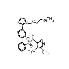 COCCOCn1ccnc1-c1ccc(-c2ccccc2S(=O)(=O)Nc2onc(C)c2C)cc1